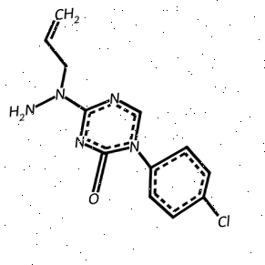 C=CCN(N)c1ncn(-c2ccc(Cl)cc2)c(=O)n1